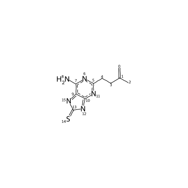 C=C(C)CCc1nc(N)c2c(n1)=NC(=S)N=2